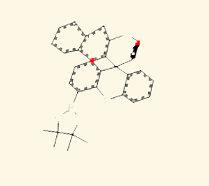 CC1(C)OB(c2cccc3c2Sc2ccccc2C32c3ccccc3Oc3cc4ccccc4cc32)OC1(C)C